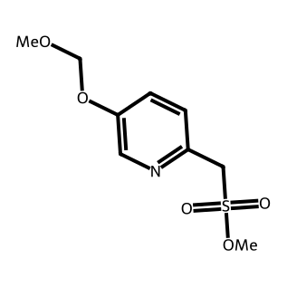 COCOc1ccc(CS(=O)(=O)OC)nc1